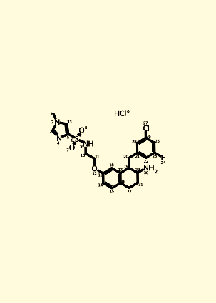 Cl.Cn1cnc(S(=O)(=O)NCCOc2ccc3c(c2)C(Cc2cc(F)cc(Cl)c2)C(N)CC3)c1